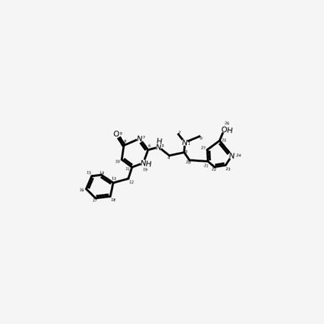 CN(C)C(CNc1nc(=O)cc(Cc2ccccc2)[nH]1)Cc1ccnc(O)c1